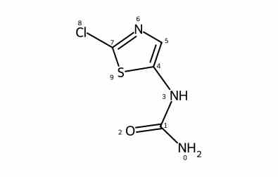 NC(=O)Nc1cnc(Cl)s1